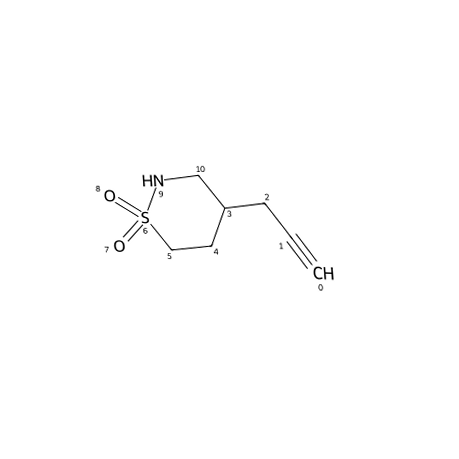 C#CCC1CCS(=O)(=O)NC1